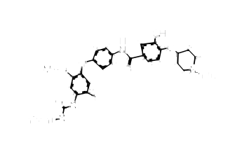 CCCCCNC(=O)Nc1cc(OC)c(Oc2ccc(NC(=O)c3ccc(OC4CCN(CCCC)CC4)c(C)c3)cc2)cc1F